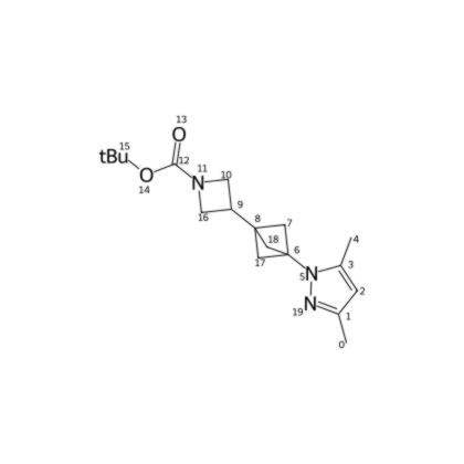 Cc1cc(C)n(C23CC(C4CN(C(=O)OC(C)(C)C)C4)(C2)C3)n1